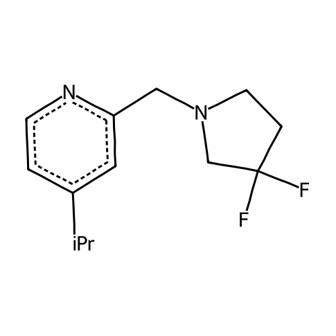 CC(C)c1ccnc(CN2CCC(F)(F)C2)c1